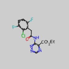 CCOC(=O)c1ncnnc1NC(=O)Cc1c(F)ccc(F)c1Cl